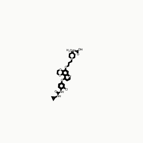 CC1(NC(=O)O)CCN(CCCOc2cc3nccc(Oc4ccc(NC(=O)NC5CC5)c(Cl)c4)c3c3c2OCCO3)CC1